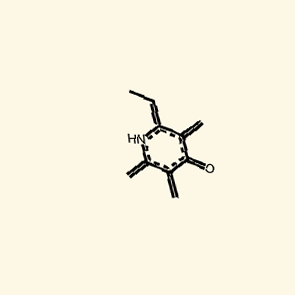 C=c1[nH]c(=CC)c(=C)c(=O)c1=C